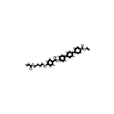 C=COC(=O)c1ccc(-c2ccc(-c3ccc(OC(=O)c4ccc(OCCCCOC(=O)C=C)cc4)cc3)cc2)cc1